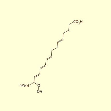 CCCCCC(/C=C/C=C/C=C/CC/C=C/CCCC(=O)O)OO